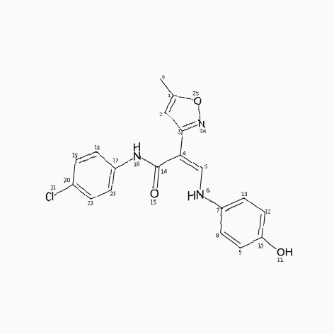 Cc1cc(/C(=C/Nc2ccc(O)cc2)C(=O)Nc2ccc(Cl)cc2)no1